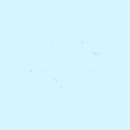 CCC(C)OCN(CC)S(=O)(=O)OC(=O)CO.Cc1cccc(C)c1N